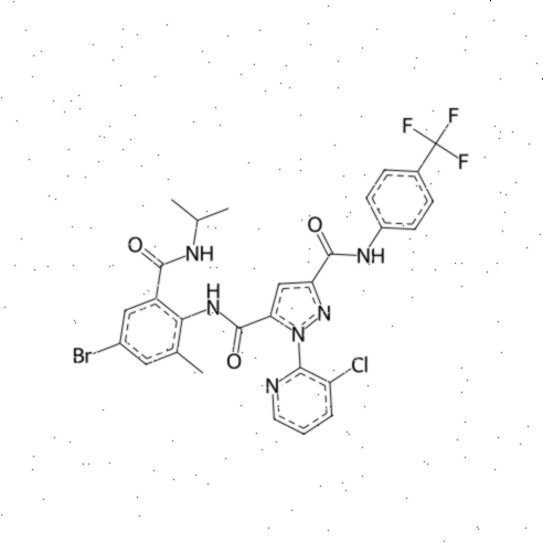 Cc1cc(Br)cc(C(=O)NC(C)C)c1NC(=O)c1cc(C(=O)Nc2ccc(C(F)(F)F)cc2)nn1-c1ncccc1Cl